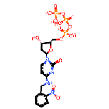 O=c1nc(NCc2ccccc2[N+](=O)[O-])ccn1[C@H]1C[C@H](O)[C@@H](COP(=O)(O)OP(=O)(O)OP(=O)(O)O)O1